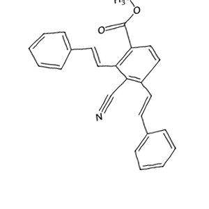 COC(=O)c1ccc(C=Cc2ccccc2)c(C#N)c1C=Cc1ccccc1